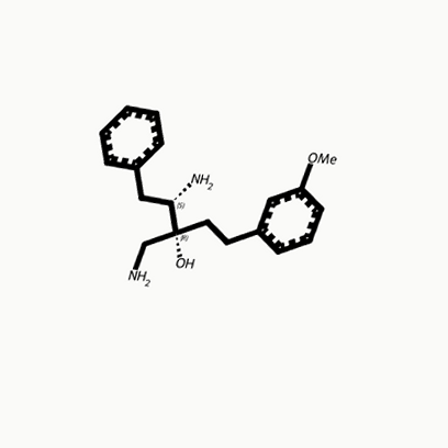 COc1cccc(CC[C@@](O)(CN)[C@@H](N)Cc2ccccc2)c1